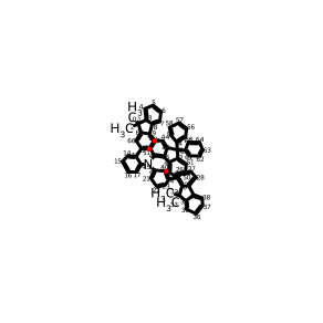 CC1(C)c2ccccc2-c2ccc(-c3ccccc3N(c3cccc(-c4cccc5c4C(C)(C)c4ccccc4-5)c3)c3cccc4c3-c3ccccc3C4(c3ccccc3)c3ccccc3)cc21